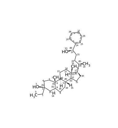 CC[C@]1(O)CC[C@@]2(C)[C@@H](CC[C@@H]3[C@@H]2CC[C@]2(C)[C@@H]([C@H](C)CC[C@@H](O)c4ccccc4)CC[C@@H]32)C1